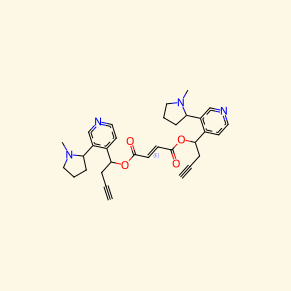 C#CCC(OC(=O)/C=C/C(=O)OC(CC#C)c1ccncc1C1CCCN1C)c1ccncc1C1CCCN1C